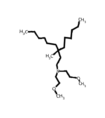 CCCCCCC(C)(CCCCCC)CCN(CCOC)CCOC